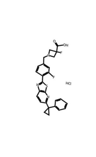 Cl.O=C(O)C1(F)CN(Cc2ccc(-c3nc4ccc(C5(c6ccccc6)CC5)nc4s3)c(F)c2)C1